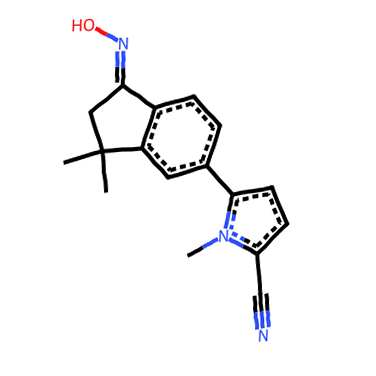 Cn1c(C#N)ccc1-c1ccc2c(c1)C(C)(C)CC2=NO